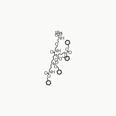 CC(C)(C)OC(=O)NCCOCCNC(=O)C(CCCN(CCCNC(=O)OCc1ccccc1)C(=O)OCc1ccccc1)N(CCCNC(=O)OCc1ccccc1)C(=O)OCc1ccccc1